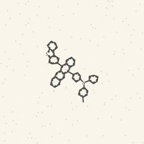 Cc1ccc(N(c2ccccc2)c2ccc(-c3c4ccccc4c(-c4ccc5sc6ccccc6c5c4)c4cc5ccccc5cc34)cc2)cc1